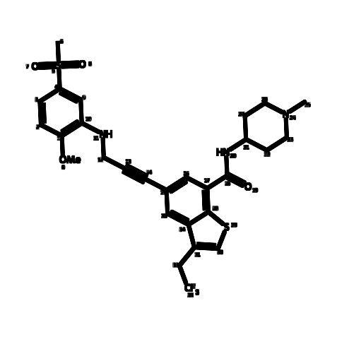 COc1ccc(S(C)(=O)=O)cc1NCC#Cc1cc(C(=O)NC2CCN(C)CC2)c2scc(CC(F)(F)F)c2c1